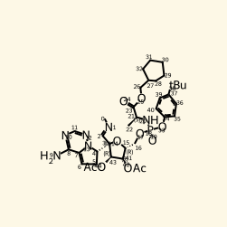 CN=C[C@@]1(C2CC=C3C(N)=NC=NN32)O[C@H](COP(=O)(N[C@@H](C)C(=O)OCC2CCCCC2)Oc2ccc(C(C)(C)C)cc2)[C@@H](OC(C)=O)[C@H]1OC(C)=O